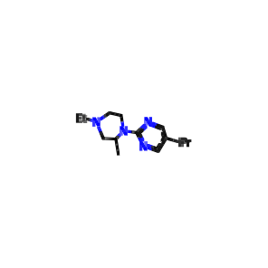 CCN1CCN(c2ncc(C(C)C)cn2)C(C)C1